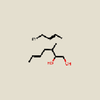 CC=CCC(C)C.CC=CCC(C)C(O)CO